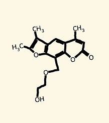 Cc1oc2c(COCCO)c3oc(=O)cc(C)c3cc2c1C